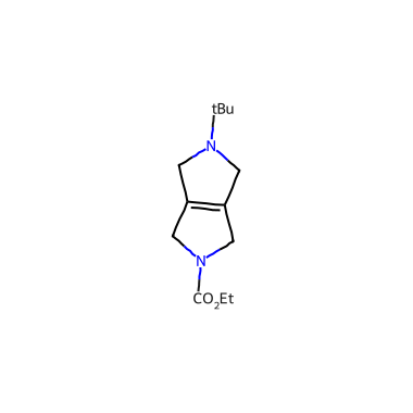 CCOC(=O)N1CC2=C(C1)CN(C(C)(C)C)C2